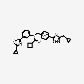 O=C(C1CCC1)N(CC12CCC(c3nc(CC4CC4)no3)(CC1)CC2)c1cccc(-c2nc(C3CC3)no2)c1